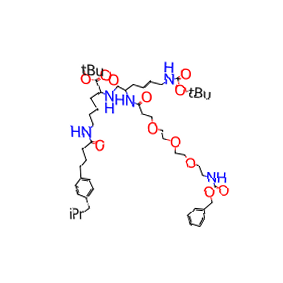 CC(C)Cc1ccc(CCCC(=O)NCCCCC(NC(=O)C(CCCCNC(=O)OC(C)(C)C)NC(=O)CCOCCOCCOCCNC(=O)OCc2ccccc2)C(=O)OC(C)(C)C)cc1